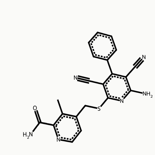 Cc1c(CSc2nc(N)c(C#N)c(-c3ccccc3)c2C#N)ccnc1C(N)=O